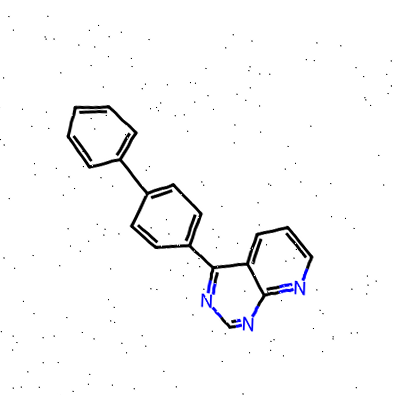 c1ccc(-c2ccc(-c3ncnc4ncccc34)cc2)cc1